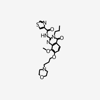 CCCn1c(NC(=O)c2cscn2)nc2c(OC)c(OCCCN3CCOCC3)ccc2c1=O